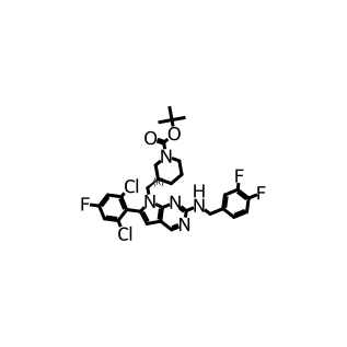 CC(C)(C)OC(=O)N1CCC[C@@H](Cn2c(-c3c(Cl)cc(F)cc3Cl)cc3cnc(NCc4ccc(F)c(F)c4)nc32)C1